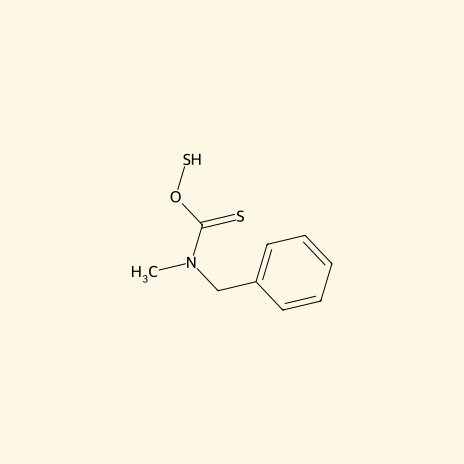 CN(Cc1ccccc1)C(=S)OS